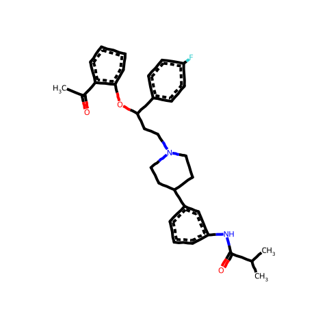 CC(=O)c1ccccc1OC(CCN1CCC(c2cccc(NC(=O)C(C)C)c2)CC1)c1ccc(F)cc1